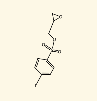 O=S(=O)(OCC1CO1)c1ccc(I)cc1